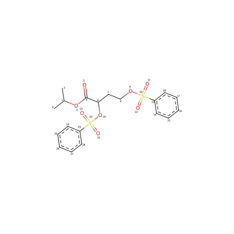 CC(C)OC(=O)C(CCOS(=O)(=O)c1ccccc1)OS(=O)(=O)c1ccccc1